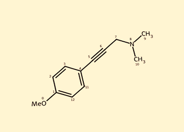 COc1ccc(C#CCN(C)C)cc1